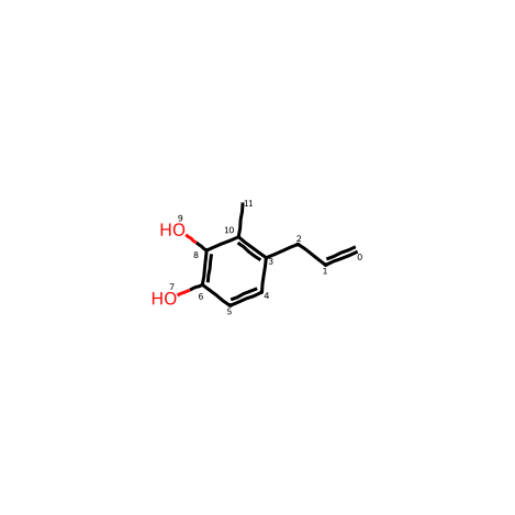 C=CCc1ccc(O)c(O)c1C